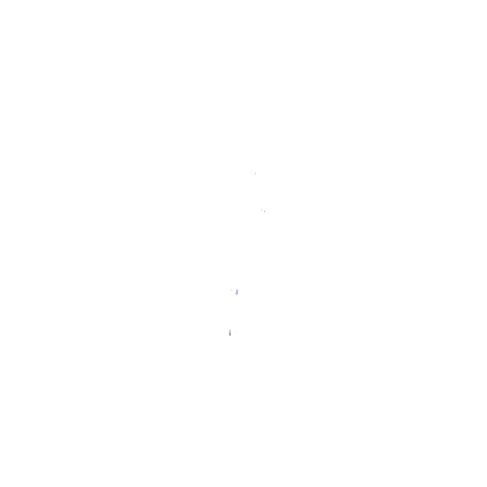 CC(C)CNc1cccc(C2CN3CCSC3=N2)c1